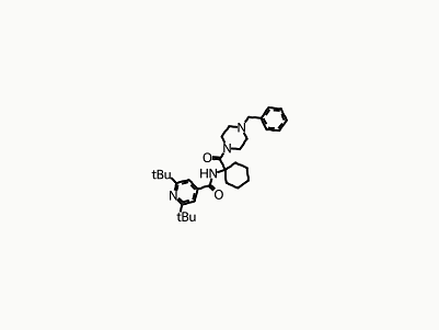 CC(C)(C)c1cc(C(=O)NC2(C(=O)N3CCN(Cc4ccccc4)CC3)CCCCC2)cc(C(C)(C)C)n1